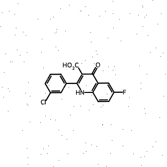 O=C(O)c1c(-c2cccc(Cl)c2)[nH]c2ccc(F)cc2c1=O